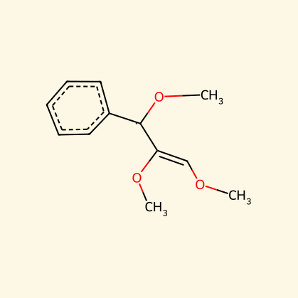 COC=C(OC)[C](OC)c1ccccc1